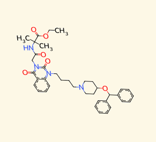 CCOC(=O)C(C)(C)NC(=O)Cn1c(=O)c2ccccc2n(CCCCN2CCC(OC(c3ccccc3)c3ccccc3)CC2)c1=O